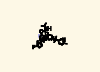 C/C=C\C(OC(=O)NC(C)C)(C(F)(F)F)C1(CCc2ccc(F)s2)CCN(C(C)(C)c2ccc(C)nc2)C1